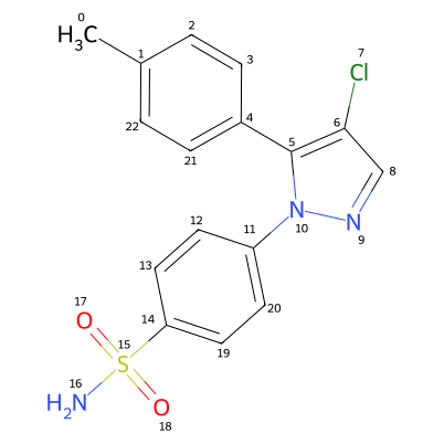 Cc1ccc(-c2c(Cl)cnn2-c2ccc(S(N)(=O)=O)cc2)cc1